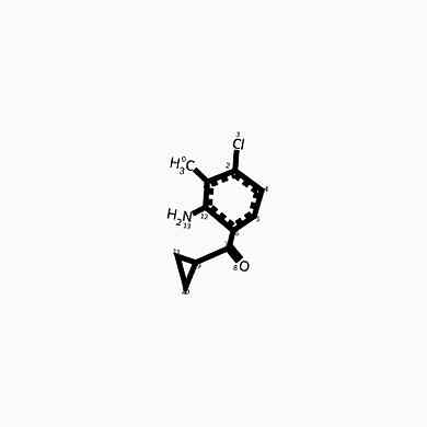 Cc1c(Cl)ccc(C(=O)C2CC2)c1N